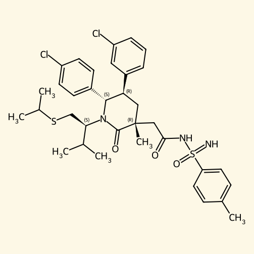 Cc1ccc(S(=N)(=O)NC(=O)C[C@@]2(C)C[C@H](c3cccc(Cl)c3)[C@@H](c3ccc(Cl)cc3)N([C@H](CSC(C)C)C(C)C)C2=O)cc1